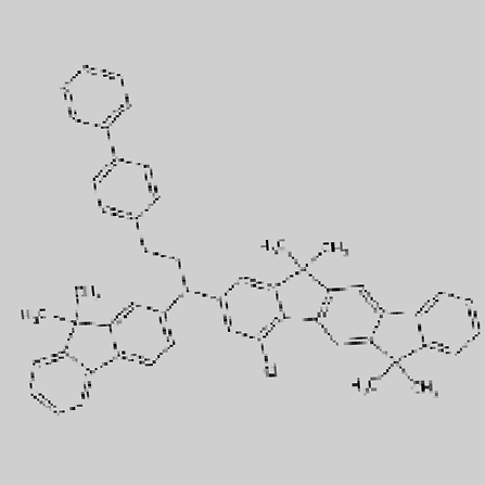 CC1(C)c2ccccc2-c2ccc(C(CCc3ccc(-c4ccccc4)cc3)c3cc(Cl)c4c(c3)C(C)(C)c3cc5c(cc3-4)C(C)(C)c3ccccc3-5)cc21